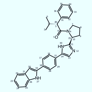 CC(C)[C@@H](C(=O)N1CCC[C@H]1c1ncc(-c2ccc(-c3cc4ccccc4[nH]3)cc2)[nH]1)c1ccccc1